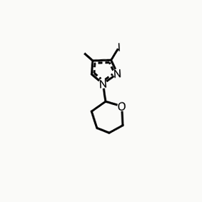 Cc1cn(C2CCCCO2)nc1I